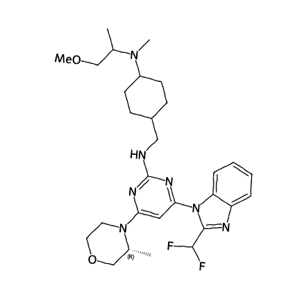 COCC(C)N(C)C1CCC(CNc2nc(N3CCOC[C@H]3C)cc(-n3c(C(F)F)nc4ccccc43)n2)CC1